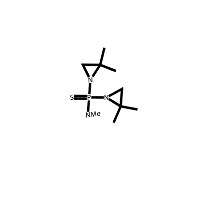 CNP(=S)(N1CC1(C)C)N1CC1(C)C